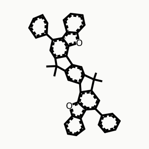 CC1(C)c2cc3c(cc2-c2c1cc(-c1ccccc1)c1c2oc2ccccc21)C(C)(C)c1cc(-c2ccccc2)c2c(oc4ccccc42)c1-3